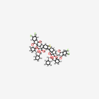 O=C1C(=CC2=Cc3cc4sc5cc6c(cc5c4cc3C2(C(=O)OCc2ccccc2)C(=O)OCc2ccccc2)C(C(=O)OCc2ccccc2)(C(=O)OCc2ccccc2)C(C=C2C(=O)c3cc(F)c(F)cc3C2=O)=C6)C(=O)c2cc(F)c(F)cc21